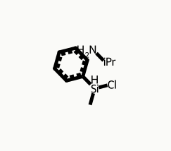 CC(C)N.C[SiH](Cl)c1ccccc1